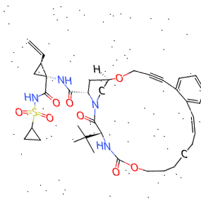 C=C[C@@H]1C[C@]1(NC(=O)[C@@H]1C[C@@H]2CN1C(=O)[C@H](C(C)(C)C)NC(=O)OCCCCCC=Cc1ccccc1C#CCO2)C(=O)NS(=O)(=O)C1CC1